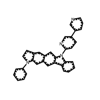 c1ccc(-n2ccc3cc4cc5c(cc4cc32)c2ccccc2n5-c2ccc(-c3cccnc3)cn2)cc1